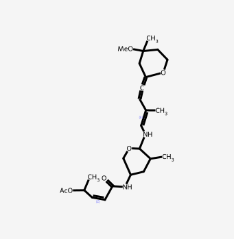 COC1(C)CCOC(=C=C/C(C)=C/NC2OCC(NC(=O)/C=C\C(C)OC(C)=O)CC2C)C1